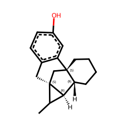 CC1[C@@H]2[C@H]3CCCC[C@]34C[C@]12Cc1ccc(O)cc14